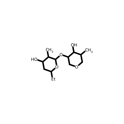 CCC1CC(O)C(C)C(OC2COCC(C)C2O)O1